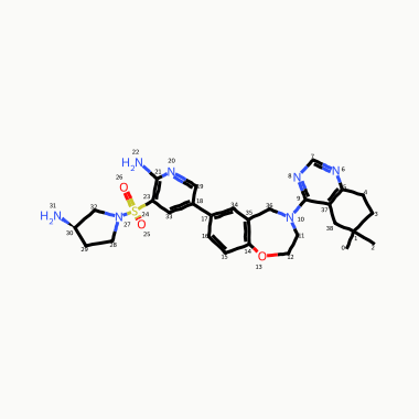 CC1(C)CCc2ncnc(N3CCOc4ccc(-c5cnc(N)c(S(=O)(=O)N6CC[C@@H](N)C6)c5)cc4C3)c2C1